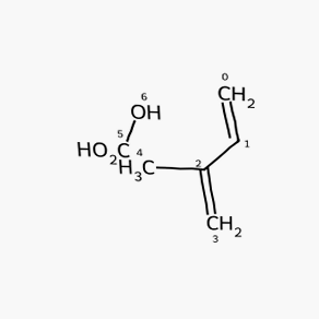 C=CC(=C)C.O=C(O)O